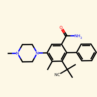 Cc1c(N2CCN(C)CC2)cc(C(N)=O)c(-c2ccccc2)c1C(C)(C)C#N